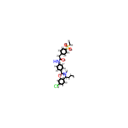 CCCC(c1ccc(Cl)cc1)N(C)C(=O)c1ccc(NC(=O)Cc2ccc(S(=O)(=O)CC)cc2)cc1